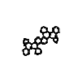 c1ccc2c(c1)-c1c(ccc3c4c(ccc13)C1c3cccn3-c3ccccc3N1c1ccccc1-4)C1c3cccn3-c3ccccc3N21